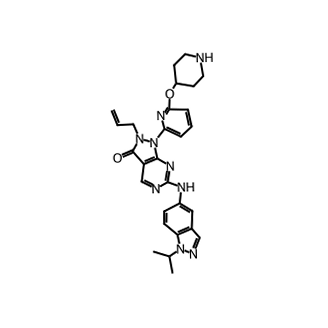 C=CCn1c(=O)c2cnc(Nc3ccc4c(cnn4C(C)C)c3)nc2n1-c1cccc(OC2CCNCC2)n1